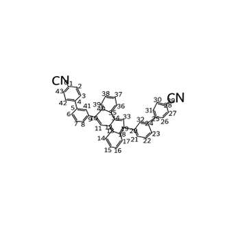 [C-]#[N+]c1ccc(-c2cccc(-c3cc4c5ccccc5c(-c5cccc(-c6ccc(C#N)cc6)c5)cc4c4ccccc34)c2)cc1